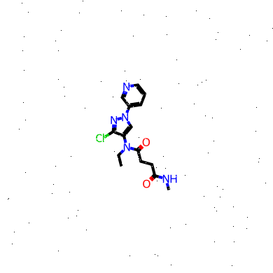 CCN(C(=O)CCC(=O)NC)c1cn(-c2cccnc2)nc1Cl